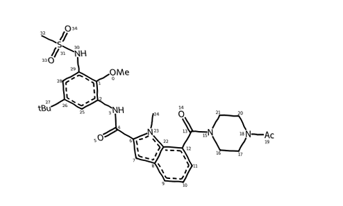 COc1c(NC(=O)c2cc3cccc(C(=O)N4CCN(C(C)=O)CC4)c3n2C)cc(C(C)(C)C)cc1NS(C)(=O)=O